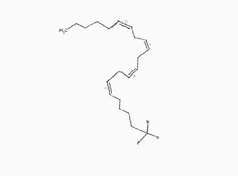 CCCCC/C=C\C/C=C\C/C=C\C/C=C\CCCCC(F)(F)F